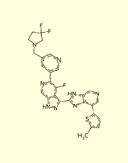 Cc1ccc(-c2cncc3[nH]c(-c4n[nH]c5cnc(-c6cncc(CN7CCC(F)(F)C7)c6)c(F)c45)nc23)s1